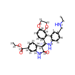 CCNCc1ccc(N/C(=C2\C(=O)Nc3cc(C(=O)OCC)ccc32)c2ccc3c(c2)OCCO3)cc1